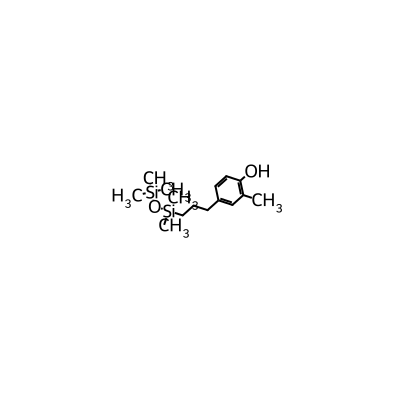 Cc1cc(CCC[Si](C)(C)O[Si](C)(C)C)ccc1O